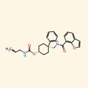 C=CCNC(=O)O[C@H]1CC[C@](CNC(=O)c2cccc3ccoc23)(c2ccccc2)CC1